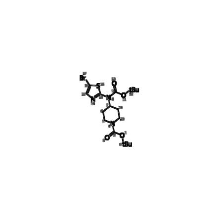 CC(C)(C)OC(=O)N1CCC(N(C(=O)OC(C)(C)C)c2ncc(Br)s2)CC1